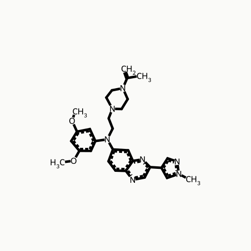 C=C(C)N1CCN(CCN(c2cc(OC)cc(OC)c2)c2ccc3ncc(-c4cnn(C)c4)nc3c2)CC1